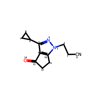 N#CCCn1nc(C2CC2)c2c1CCC2=O